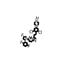 Fc1ccc(F)c([C@H]2C[C@H](F)CN2c2ccc3ncc(/C=C/c4c(Cl)cc(N5CCNCC5)cc4Cl)n3n2)c1